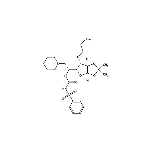 CCCCCCCCCCCCO[C@@H]1[C@H]2OC(C)(C)O[C@H]2O[C@@H]1[C@@H](CN1CCCCC1)OC(=O)NS(=O)(=O)c1ccccc1